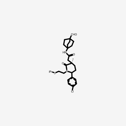 CC(C)SCCN1C(=O)[C@@](C)(CC(=O)NC23CCC(C=O)(CC2)CC3)CCC1c1ccc(Cl)cc1